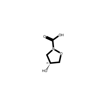 O=C(O)N1C[C@@H](O)CO1